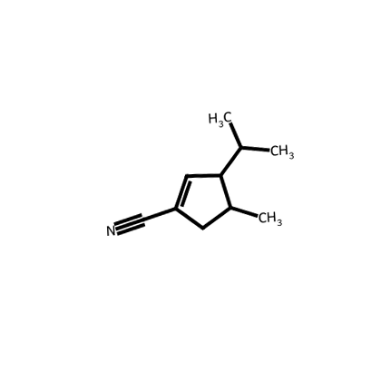 CC(C)C1C=C(C#N)CC1C